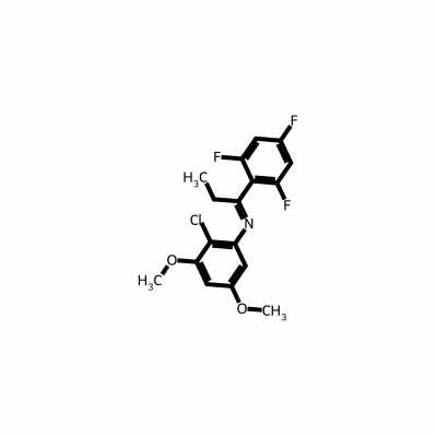 CCC(=Nc1cc(OC)cc(OC)c1Cl)c1c(F)cc(F)cc1F